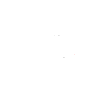 CC(/C=C/C1=CC(C)(C)COc2ccc(C(=O)c3ccc(Cl)cc3)cc21)=C\C(=O)O